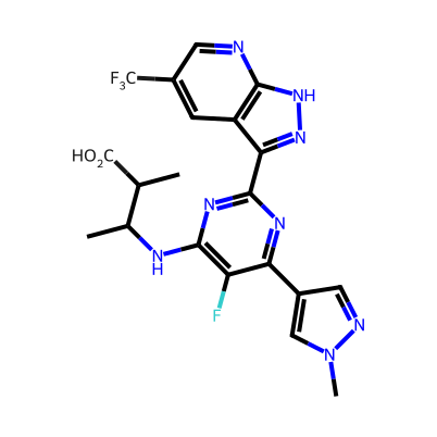 CC(Nc1nc(-c2n[nH]c3ncc(C(F)(F)F)cc23)nc(-c2cnn(C)c2)c1F)C(C)C(=O)O